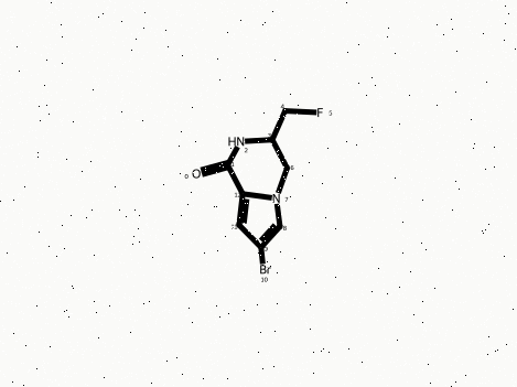 O=C1NC(CF)Cn2cc(Br)cc21